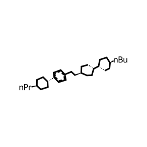 CCCC[C@H]1CC[C@H]([C@H]2CC[C@H](CCc3ccc([C@H]4CC[C@H](CCC)CC4)cc3)CC2)CC1